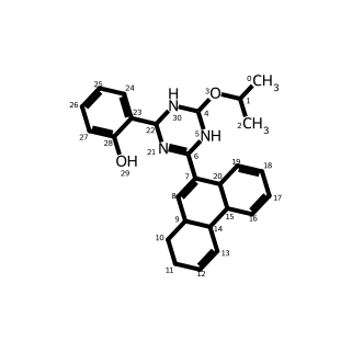 CC(C)OC1NC(C2=CC3CCC=CC3C3C=CC=CC23)=NC(c2ccccc2O)N1